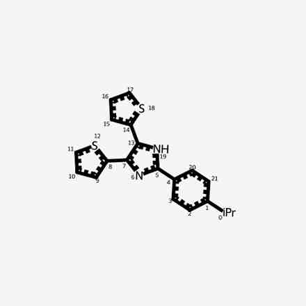 CC(C)c1ccc(-c2nc(-c3cccs3)c(-c3cccs3)[nH]2)cc1